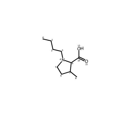 CCCCN1CCC(C)C1C(=O)O